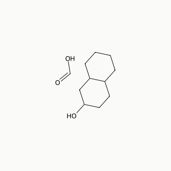 O=CO.OC1CCC2CCCCC2C1